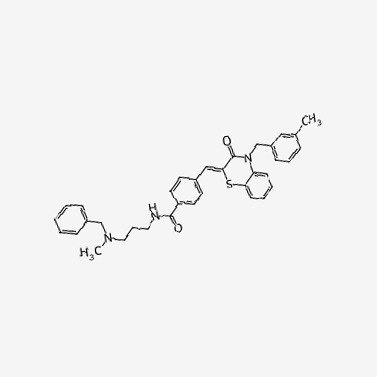 Cc1cccc(CN2C(=O)C(=Cc3ccc(C(=O)NCCCN(C)Cc4ccccc4)cc3)Sc3ccccc32)c1